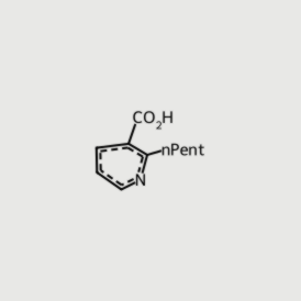 CCCCCc1ncccc1C(=O)O